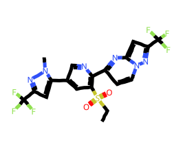 CCS(=O)(=O)c1cc(-c2cc(C(F)(F)F)nn2C)cnc1-c1ccn2nc(C(F)(F)F)cc2n1